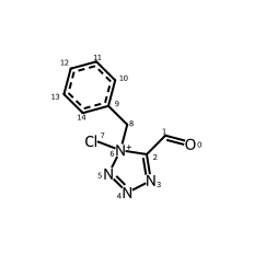 O=CC1=NN=N[N+]1(Cl)Cc1ccccc1